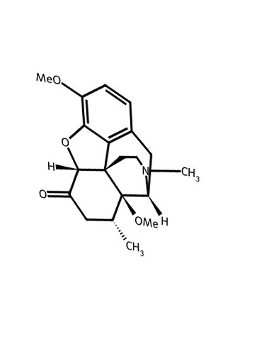 COc1ccc2c3c1O[C@H]1C(=O)C[C@@H](C)[C@@]4(OC)[C@@H](C2)N(C)CC[C@]314